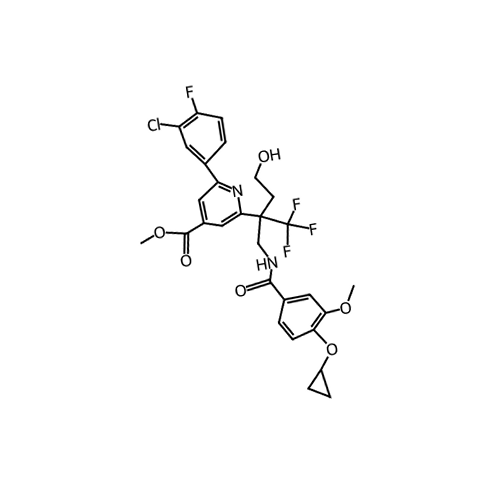 COC(=O)c1cc(-c2ccc(F)c(Cl)c2)nc(C(CCO)(CNC(=O)c2ccc(OC3CC3)c(OC)c2)C(F)(F)F)c1